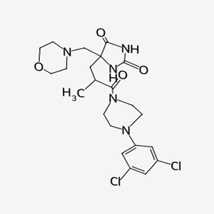 CC(CC1(CN2CCOCC2)NC(=O)NC1=O)C(=O)N1CCN(c2cc(Cl)cc(Cl)c2)CC1